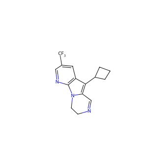 FC(F)(F)c1cnc2c(c1)c(C1CCC1)c1n2CCN=C1